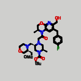 COC[C@@H]1COCCN1C[C@H]1CN(C(=O)OC(C)(C)C)[C@H](C)CN1CC(=O)N1c2cc(Cc3ccc(F)cc3)c(CO)nc2OC[C@@H]1C